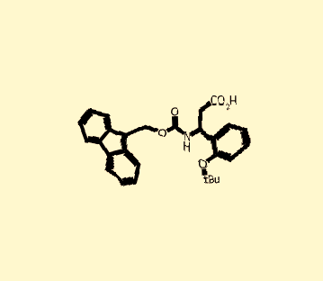 CC(C)(C)Oc1ccccc1C(CC(=O)O)NC(=O)OCC1c2ccccc2-c2ccccc21